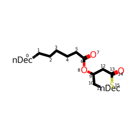 CCCCCCCCCCCCCCCC(=O)OC(CCCCCCCCCCC)CC(=O)[S]